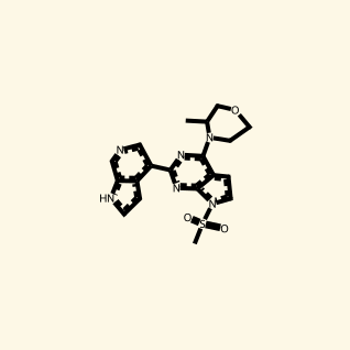 CC1COCCN1c1nc(-c2cncc3[nH]ccc23)nc2c1ccn2S(C)(=O)=O